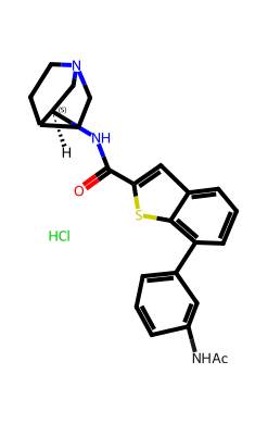 CC(=O)Nc1cccc(-c2cccc3cc(C(=O)N[C@@H]4CN5CCC4CC5)sc23)c1.Cl